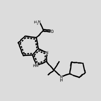 CC(C)(NC1CCCC1)c1nc2c(C(N)=O)cccc2[nH]1